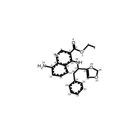 CCOC(=O)c1cnc2c(N)cccc2c1NC(Cc1ccccc1)C1=COCO1